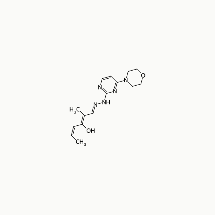 C\C=C/C(O)=C(C)/C=N/Nc1nccc(N2CCOCC2)n1